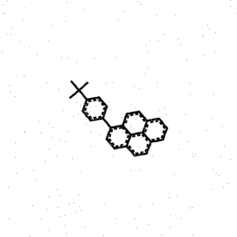 CC(C)(C)c1ccc(-c2ccc3ccc4cccc5ccc2c3c45)cc1